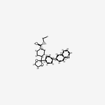 CCOC(=O)N1CCC(C2(c3ccc(-c4ccc5ncccc5c4)cc3)OCCO2)CC1